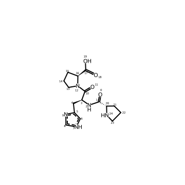 O=C(N[C@@H](Cc1c[nH]cn1)C(=O)N1CCC[C@H]1C(=O)O)[C@@H]1CCCN1